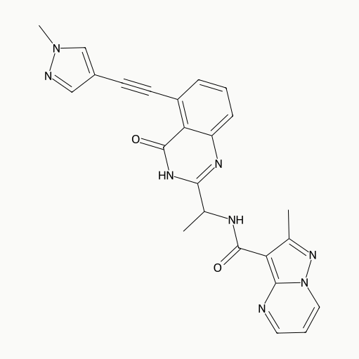 Cc1nn2cccnc2c1C(=O)NC(C)c1nc2cccc(C#Cc3cnn(C)c3)c2c(=O)[nH]1